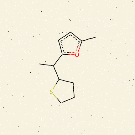 Cc1ccc(C(C)C2CCCS2)o1